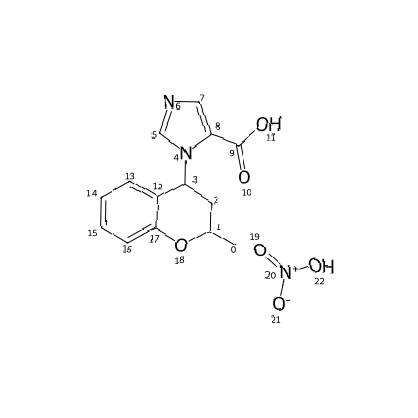 CC1CC(n2cncc2C(=O)O)c2ccccc2O1.O=[N+]([O-])O